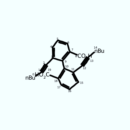 CCCCC#Cc1cccc(C(=O)O)c1-c1c(C#CCCCC)cccc1C(=O)O